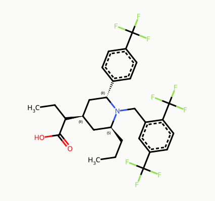 CCC[C@H]1C[C@@H](C(CC)C(=O)O)C[C@H](c2ccc(C(F)(F)F)cc2)N1Cc1cc(C(F)(F)F)ccc1C(F)(F)F